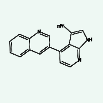 CCCc1c[nH]c2nccc(-c3cnc4ccccc4c3)c12